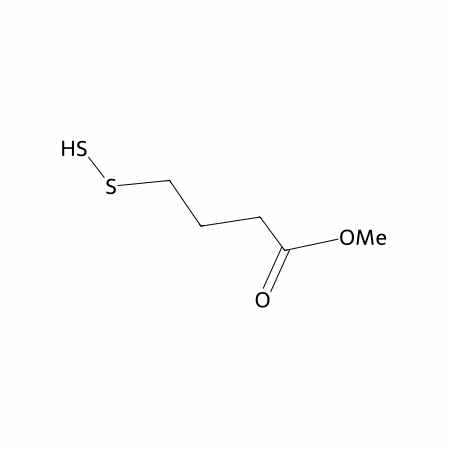 [CH2]OC(=O)CCCSS